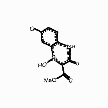 COC(=O)c1c(=O)[nH]c2ccc(Cl)cc2[n+]1O